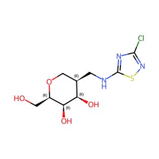 OC[C@H]1OC[C@@H](CNc2nc(Cl)ns2)[C@@H](O)[C@H]1O